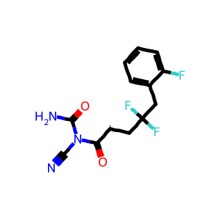 N#CN(C(N)=O)C(=O)[CH]CC(F)(F)Cc1ccccc1F